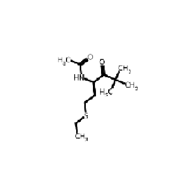 CCSCCC(NC(C)=O)C(=O)C(C)(C)C